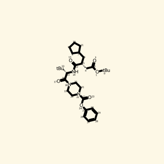 CC(C)(C)OC(=O)C[C@@H](CC1CCCC1)C(=O)N[C@H](C(=O)N1CCN(C(=O)Oc2ccccc2)CC1)C(C)(C)C